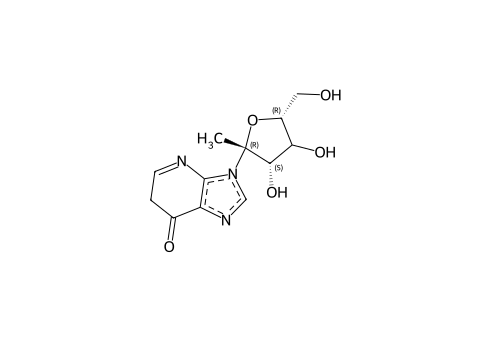 C[C@@]1(n2cnc3c2N=CCC3=O)O[C@H](CO)C(O)[C@@H]1O